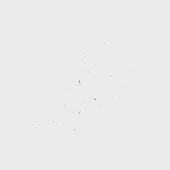 [N-]=[N+]=NC[C@]1(COP(=O)(O)OP(=O)(O)OP(=O)(O)O)O[C@@H](n2ccc(N)nc2=O)[C@@](O)(CF)[C@@H]1O